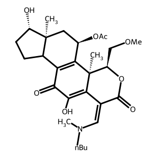 CCCCN(C)/C=C1/C(=O)O[C@H](COC)[C@@]2(C)C1=C(O)C(=O)C1=C2[C@H](OC(C)=O)C[C@@]2(C)C1CC[C@@H]2O